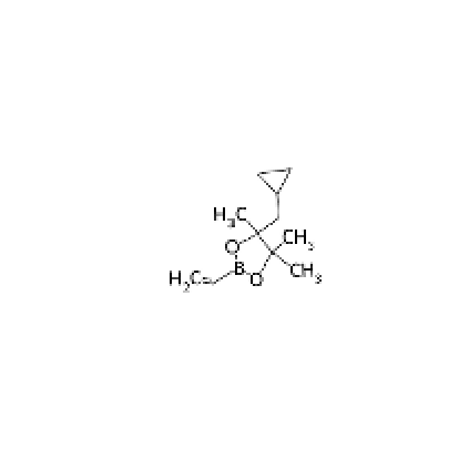 C=CB1OC(C)(C)C(C)(CC2CC2)O1